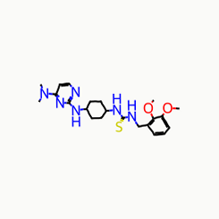 COc1cccc(CNC(=S)NC2CCC(Nc3nccc(N(C)C)n3)CC2)c1OC